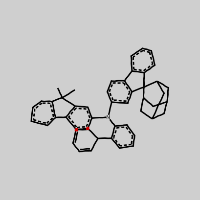 CC1(C)c2ccccc2-c2ccc(N(c3ccc4c(c3)C3(c5ccccc5-4)C4CC5CC(C4)CC3C5)c3ccccc3C3C=CC=CC3)cc21